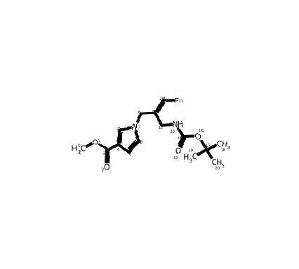 COC(=O)c1ccn(C/C(=C/F)CNC(=O)OC(C)(C)C)c1